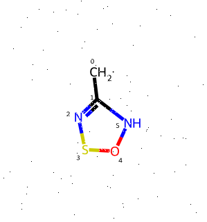 [CH2]C1=NSON1